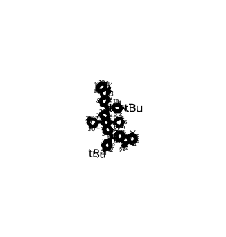 CC(C)(C)c1ccc(N(c2ccc3c(c2)C(C)(C)c2ccccc2-3)c2ccc3c(C4CCCCC4)c4ccc(N(c5ccc(C(C)(C)C)cc5)c5ccc6c(c5)C(C)(C)c5ccccc5-6)cc4c(C4CCCCC4)c3c2)cc1